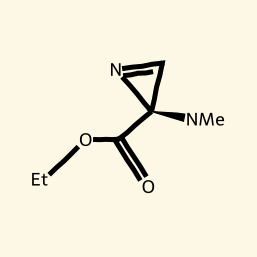 CCOC(=O)[C@@]1(NC)C=N1